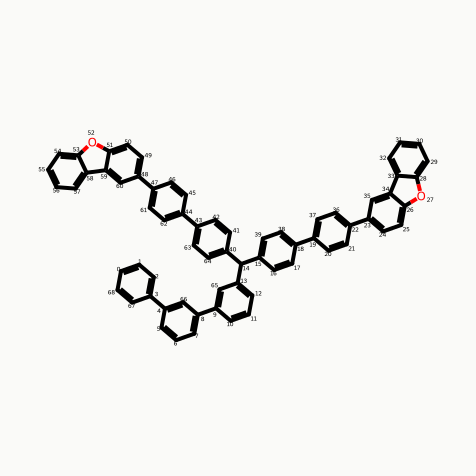 c1ccc(-c2cccc(-c3cccc(C(c4ccc(-c5ccc(-c6ccc7oc8ccccc8c7c6)cc5)cc4)c4ccc(-c5ccc(-c6ccc7oc8ccccc8c7c6)cc5)cc4)c3)c2)cc1